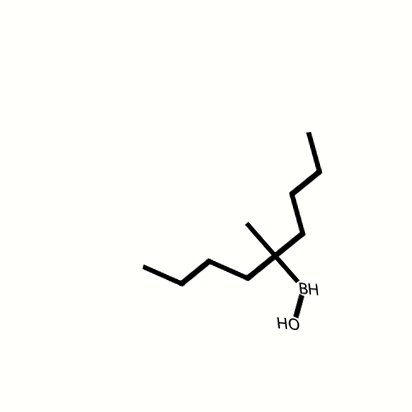 CCCCC(C)(BO)CCCC